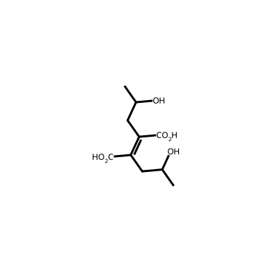 CC(O)CC(C(=O)O)=C(CC(C)O)C(=O)O